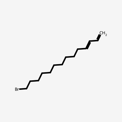 C=CC=CCCCCCCCCCCBr